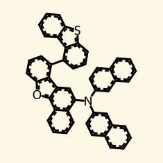 c1ccc2cc(N(c3ccc4ccccc4c3)c3cc4c(oc5cccc(-c6cccc7sc8ccccc8c67)c54)c4ccccc34)ccc2c1